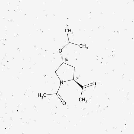 CC(=O)[C@@H]1C[C@@H](OC(C)C)CN1C(C)=O